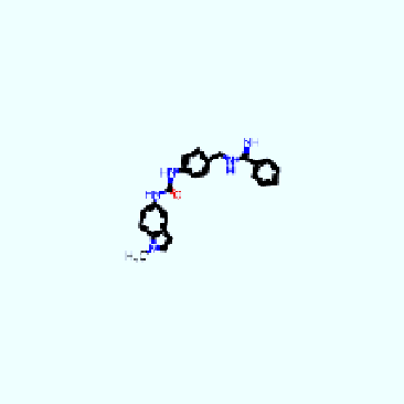 Cn1ccc2cc(NC(=O)Nc3ccc(CNC(=N)c4ccccc4)cc3)ccc21